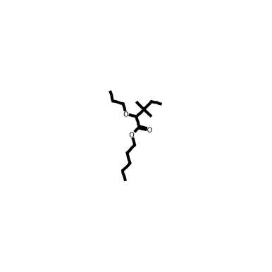 CCCCCOC(=O)C(OCCC)C(C)(C)CC